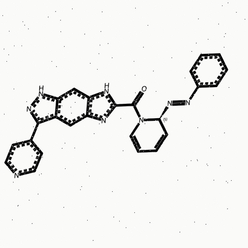 O=C(c1nc2cc3c(-c4ccncc4)n[nH]c3cc2[nH]1)N1C=CC=C[C@@H]1N=Nc1ccccc1